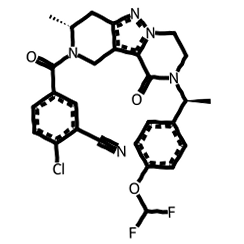 C[C@@H]1Cc2nn3c(c2CN1C(=O)c1ccc(Cl)c(C#N)c1)C(=O)N([C@@H](C)c1ccc(OC(F)F)cc1)CC3